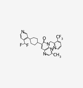 Cc1cnc2cc(C3CCC(c4cnccc4C(F)F)CC3)c(=O)n(Cc3ncccc3C(F)(F)F)c2n1